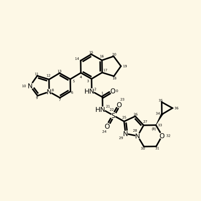 O=C(Nc1c(-c2ccn3cncc3c2)ccc2c1CCC2)NS(=O)(=O)c1cc2n(n1)CCO[C@@H]2C1CC1